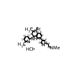 CNCCn1cc(-c2ccc3c(c2)[C@H](Nc2cccc(C)n2)C[C@H](C)N3C(C)=O)cn1.Cl